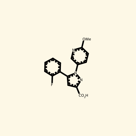 COc1ccc(-n2nc(C(=O)O)cc2-c2ccccc2F)cn1